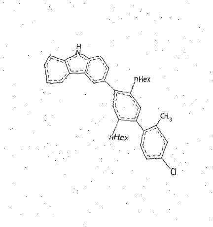 CCCCCCc1cc(-c2ccc(Cl)cc2C)c(CCCCCC)cc1-c1ccc2[nH]c3ccccc3c2c1